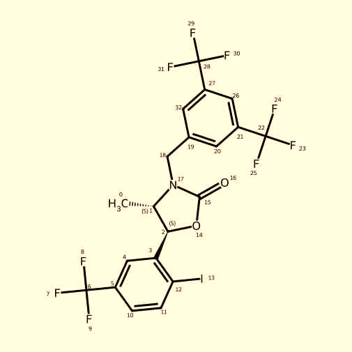 C[C@H]1[C@H](c2cc(C(F)(F)F)ccc2I)OC(=O)N1Cc1cc(C(F)(F)F)cc(C(F)(F)F)c1